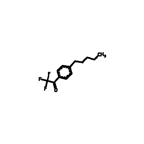 CCCCCc1ccc(C(=O)C(F)(F)F)cc1